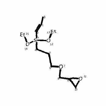 CC=C[Si](CCCOCC1CO1)(OCC)OCC